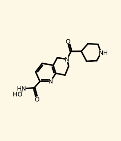 O=C(NO)c1ccc2c(n1)CCN(C(=O)C1CCNCC1)C2